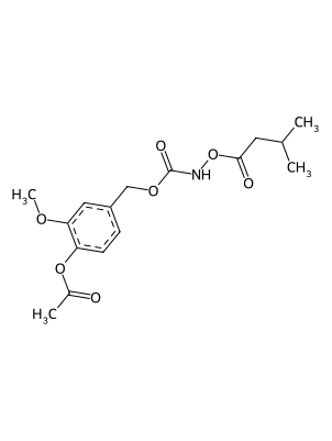 COc1cc(COC(=O)NOC(=O)CC(C)C)ccc1OC(C)=O